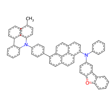 Cc1ccc(N(c2ccc(-c3ccc4ccc5c(N(c6ccccc6)c6ccc7oc8ccccc8c7c6)ccc6ccc3c4c65)cc2)c2ccccc2-c2ccccc2)cc1